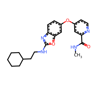 CNC(=O)c1cc(Oc2ccc3nc(NCCC4CCCCC4)oc3c2)ccn1